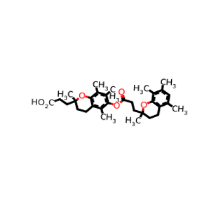 Cc1cc(C)c2c(c1C)OC(C)(CCC(=O)Oc1c(C)c(C)c3c(c1C)CCC(C)(CCC(=O)O)O3)CC2